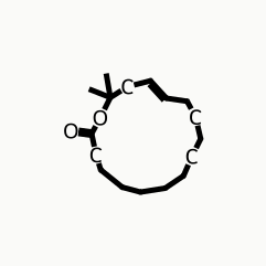 CC1(C)C/C=C/CCCCCCCCCCC(=O)O1